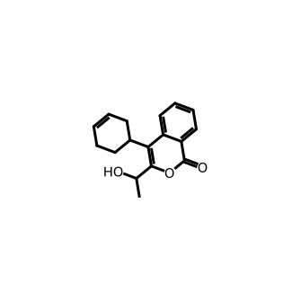 CC(O)c1oc(=O)c2ccccc2c1C1CC=CCC1